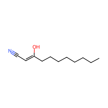 CCCCCCCCC(O)=CC#N